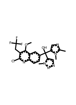 COc1c(CC(F)(F)F)c(Cl)nc2ccc(C(O)(c3cnnn3C)c3cnc(C)n3C)cc12